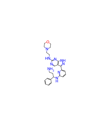 NCCC(Nc1cccc(-c2n[nH]c3nc(NCCN4CCOCC4)ncc23)n1)c1ccccc1